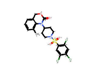 Cc1cccc2c1N(C1CCN(S(=O)(=O)c3cc(Cl)c(Cl)cc3Cl)CC1)C(=O)OC2